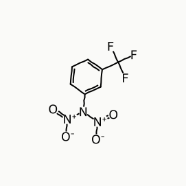 O=[N+]([O-])N(c1cccc(C(F)(F)F)c1)[N+](=O)[O-]